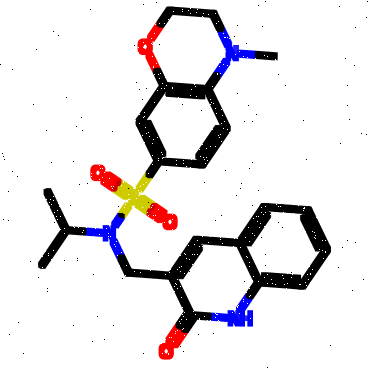 CC(C)N(Cc1cc2ccccc2[nH]c1=O)S(=O)(=O)c1ccc2c(c1)OCCN2C